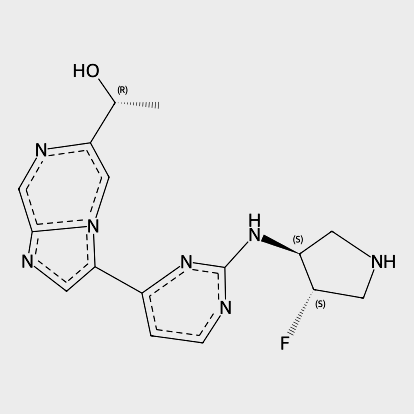 C[C@@H](O)c1cn2c(-c3ccnc(N[C@H]4CNC[C@@H]4F)n3)cnc2cn1